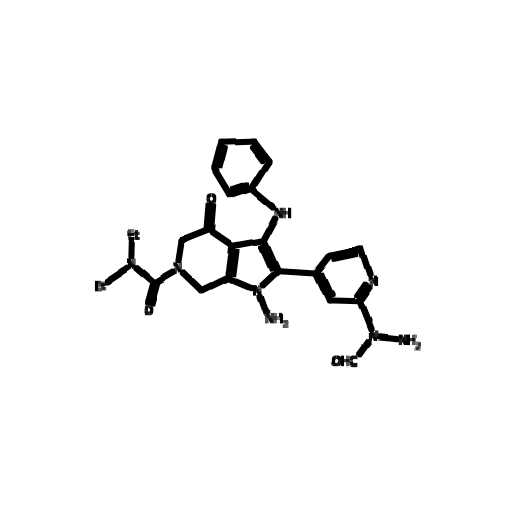 CCN(CC)C(=O)N1CC(=O)c2c(Nc3ccccc3)c(-c3ccnc(N(N)C=O)c3)n(N)c2C1